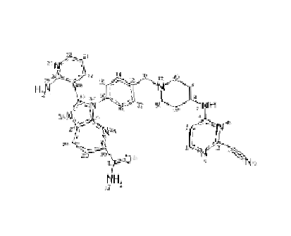 N#Cc1nccc(NC2CCN(Cc3ccc(-n4c(-c5cccnc5N)nc5ccc(C(N)=O)nc54)cc3)CC2)n1